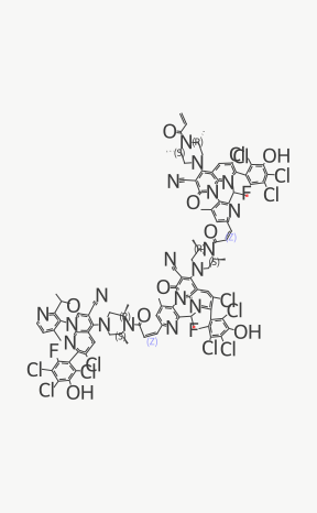 C=CC(=O)N1[C@H](C)CN(c2c(C#N)c(=O)n(-c3c(C)cc(/C=C\C(=O)N4[C@H](C)CN(c5c(C#N)c(=O)n(-c6c(C)cc(/C=C\C(=O)N7[C@H](C)CN(c8c(C#N)c(=O)n(-c9c(C)ccnc9C(C)C)c9nc(-c%10c(F)c(Cl)c(Cl)c(O)c%10Cl)c(Cl)cc89)C[C@@H]7C)nc6C(C)C)c6nc(-c7c(F)c(Cl)c(Cl)c(O)c7Cl)c(Cl)cc56)C[C@@H]4C)nc3C(C)C)c3nc(-c4c(F)c(Cl)c(Cl)c(O)c4Cl)c(Cl)cc23)C[C@@H]1C